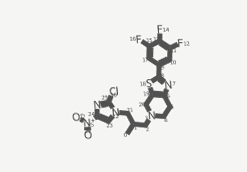 CC(CN1CCc2nc(-c3cc(F)c(F)c(F)c3)sc2C1)Cn1cc([N+](=O)[O-])nc1Cl